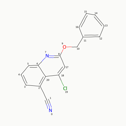 N#Cc1cccc2nc(OCc3ccccc3)cc(Cl)c12